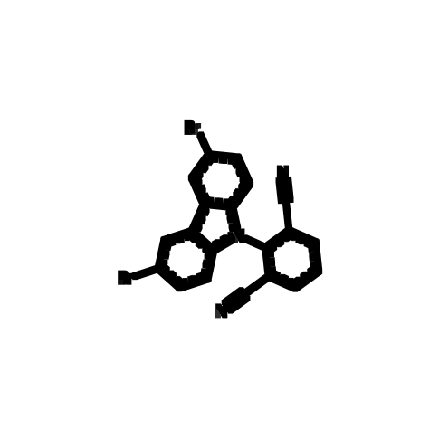 N#Cc1cccc(C#N)c1-n1c2ccc(Br)cc2c2cc(Br)ccc21